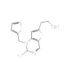 C[C@H](N)Cc1cc2c(s1)C=NC(Cl)N2Cc1cccs1